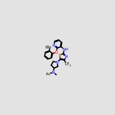 CC(=O)N(C)C1CCN(c2sc(Nc3cccnc3Oc3ccccc3C(C)(C)C)nc2C(F)(F)F)C1